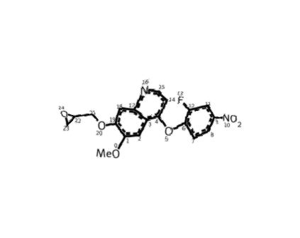 COc1cc2c(Oc3ccc([N+](=O)[O-])cc3F)ccnc2cc1OCC1CO1